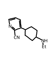 CCNC1CCC(c2cccnc2C#N)CC1